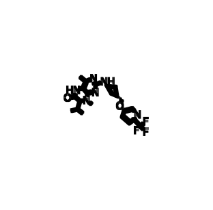 Cc1nc(N[C@H]2C[C@@H](COc3ccc(C(F)(F)F)nc3)C2)nc2c1NC(=O)C(C(C)C)N2C